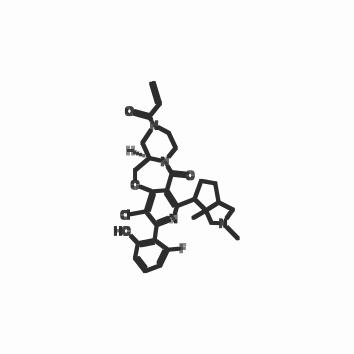 C=CC(=O)N1CCN2C(=O)c3c(C4CCC5CN(C)CC54C)nc(-c4c(O)cccc4F)c(Cl)c3OC[C@H]2C1